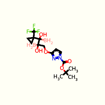 BC(O)(COc1ccn(C(=O)OC(C)(C)C)n1)C(B)(O)C1(C(F)(F)F)CC1